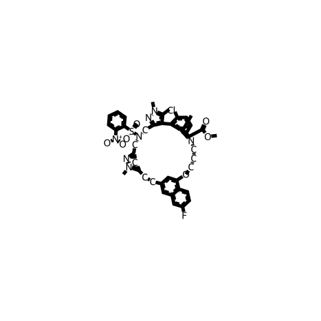 COC(=O)c1c(C)c2c3c(Cl)ccc2n1CCCOc1cc(cc2cc(F)ccc12)CCc1cc(nn1C)CN(S(=O)(=O)c1ccccc1[N+](=O)[O-])Cc1nn(C)c(C)c1-3